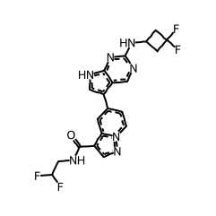 O=C(NCC(F)F)c1cnn2ccc(-c3c[nH]c4nc(NC5CC(F)(F)C5)ncc34)cc12